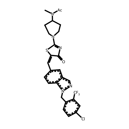 CC(=O)N(C)C1CCN(C2=NC(=O)C(=Cc3ccc4c(cnn4Cc4ccc(Cl)cc4C(F)(F)F)c3)S2)CC1